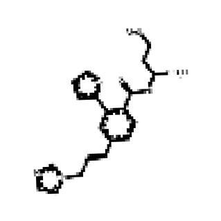 CSCC[C@H](NC(=O)c1ccc(/C=C/Cn2ccnc2)cc1-c1cccs1)C(=O)O